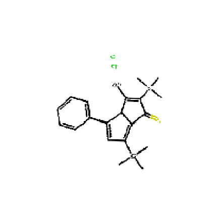 C[Si](C)(C)C1=C2C(=S)C([Si](C)(C)C)=[C]([Zr+2])C2C(c2ccccc2)=C1.[Cl-].[Cl-]